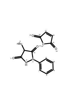 CCCCC1C(=O)NN(c2ccccc2)C1=O.O=C1C=CC(=O)O1